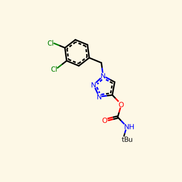 CC(C)(C)NC(=O)Oc1cn(Cc2ccc(Cl)c(Cl)c2)nn1